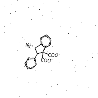 O=C([O-])C1(C(=O)[O-])c2ccccc2CC1c1ccccc1.[K+].[K+]